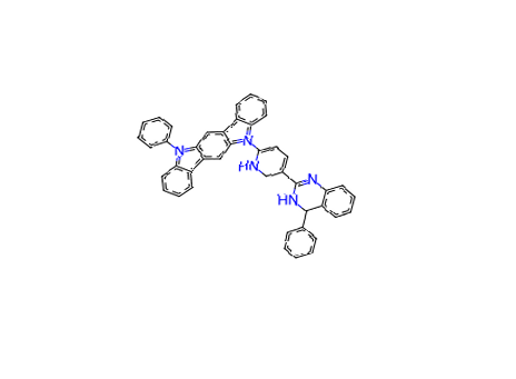 C1=C(C2=Nc3ccccc3C(c3ccccc3)N2)CNC(n2c3ccccc3c3cc4c(cc32)c2ccccc2n4-c2ccccc2)=C1